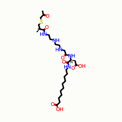 CC(=O)CSC[C@H](C)C(=O)NCCNCCNCC(=O)N[C@@H](CC(=O)O)C(=O)NCCCCCCCCCCC(=O)O